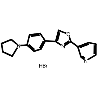 Br.c1cncc(-c2nc(-c3ccc(N4CCCC4)cc3)co2)c1